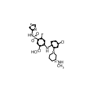 CN[C@@H]1CCCN(c2cc(Cl)ccc2Nc2cc(F)c(S(=O)(=O)Nc3cscn3)cc2Cl)C1.Cl